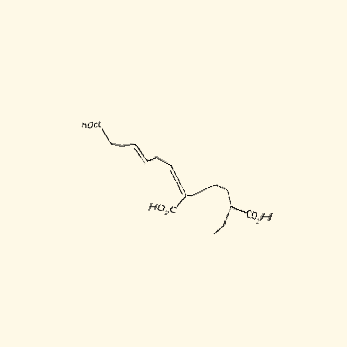 CCCCCCCCC/C=C/C=C(/CC(C)C(=O)O)C(=O)O